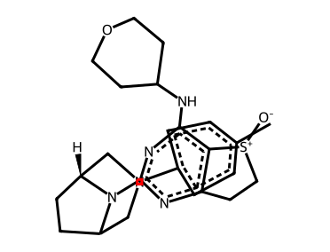 Cc1ccc(N2CC3CC[C@H](C2)N3c2nc3c(c(NC4CCOCC4)n2)[S+]([O-])CC3)cc1